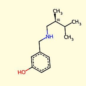 CC(C)[C@H](C)CNCc1cccc(O)c1